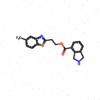 O=C(OCCc1nc2cc(C(F)(F)F)ccc2s1)c1cccc2c1CNC2